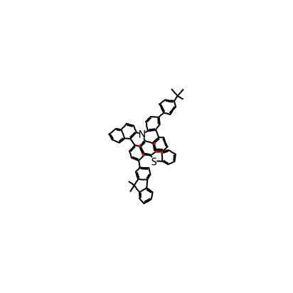 CC(C)(C)c1ccc(-c2ccc(N(c3ccc4sc5ccccc5c4c3)c3ccc4ccccc4c3-c3ccc(-c4ccc5c(c4)C(C)(C)c4ccccc4-5)cc3)c(-c3ccccc3)c2)cc1